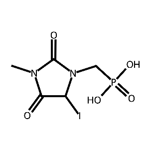 CN1C(=O)C(I)N(CP(=O)(O)O)C1=O